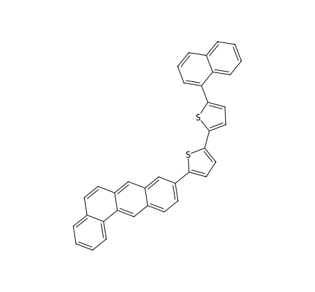 c1ccc2c(-c3ccc(-c4ccc(-c5ccc6cc7c(ccc8ccccc87)cc6c5)s4)s3)cccc2c1